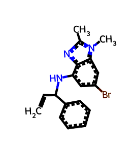 C=CC(Nc1cc(Br)cc2c1nc(C)n2C)c1ccccc1